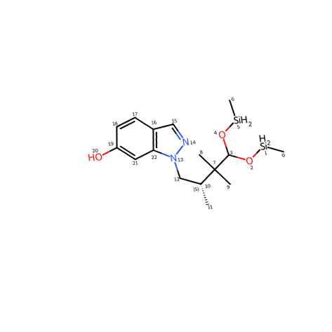 C[SiH2]OC(O[SiH2]C)C(C)(C)[C@H](C)Cn1ncc2ccc(O)cc21